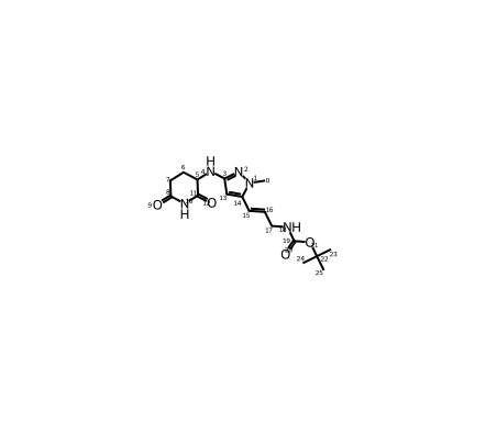 Cn1nc(NC2CCC(=O)NC2=O)cc1/C=C/CNC(=O)OC(C)(C)C